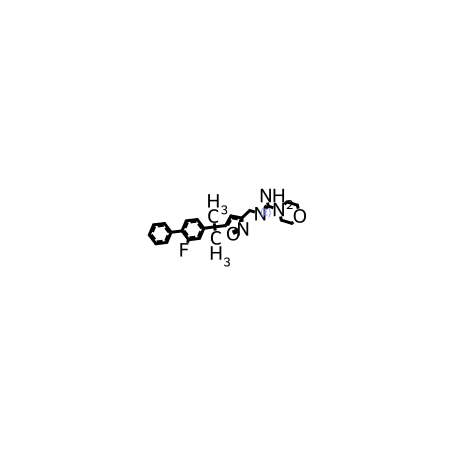 CC(C)(c1ccc(-c2ccccc2)c(F)c1)c1cc(C/N=C(\N)N2CCOCC2)no1